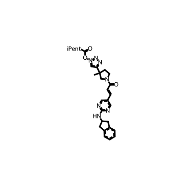 CCCC(C)C(=O)On1cc(C2(C)CCN(C(=O)/C=C/c3cnc(NC4Cc5ccccc5C4)nc3)C2)nn1